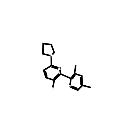 Cc1cnc(-c2nc(N3CCCC3)ccc2Cl)c(C)c1